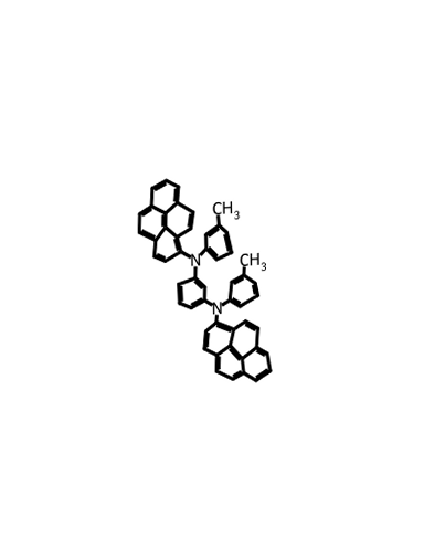 Cc1cccc(N(c2cccc(N(c3cccc(C)c3)c3ccc4ccc5cccc6ccc3c4c56)c2)c2ccc3ccc4cccc5ccc2c3c45)c1